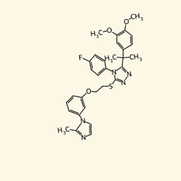 COc1ccc(C(C)(C)c2nnc(SCCOc3cccc(-n4ccnc4C)c3)n2-c2ccc(F)cc2)cc1OC